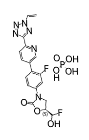 C=Cn1nnc(-c2ccc(-c3ccc(N4C[C@@H](C(O)F)OC4=O)cc3F)cn2)n1.O=P(O)(O)O